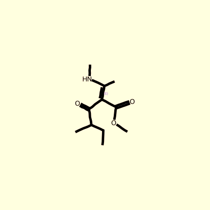 CCC(C)C(=O)/C(C(=O)OC)=C(/C)NC